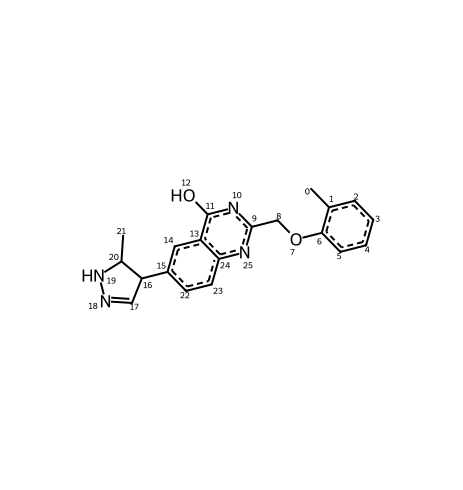 Cc1ccccc1OCc1nc(O)c2cc(C3C=NNC3C)ccc2n1